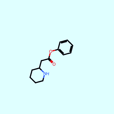 O=C(CC1CCCCN1)Oc1ccccc1